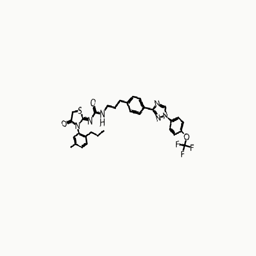 CCCc1ccc(C)cc1N1C(=O)CS/C1=N\C(=O)NCCCc1ccc(-c2ncn(-c3ccc(OC(F)(F)F)cc3)n2)cc1